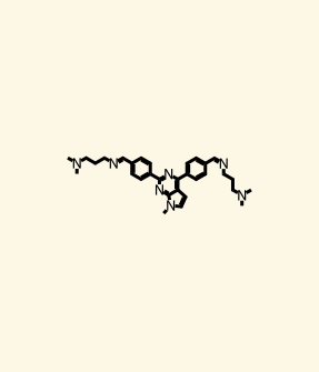 CN(C)CCC/N=C\c1ccc(-c2nc(-c3ccc(/C=N/CCCN(C)C)cc3)nc3c2ccn3C)cc1